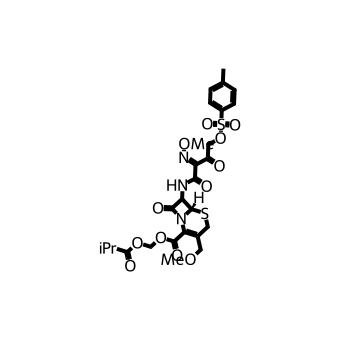 COCC1=C(C(=O)OCOC(=O)C(C)C)N2C(=O)C(NC(=O)C(=NOC)C(=O)COS(=O)(=O)c3ccc(C)cc3)[C@@H]2SC1